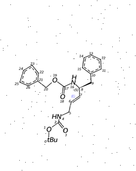 CC(C)(C)OC(=O)NC/C=C/[C@H](Cc1ccccc1)NC(=O)OCc1ccccc1